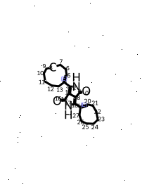 O=C1NC(/C2=C/CCCCCCCC2)=C2C(=O)NC(/C3=C/CCCCCCC3)=C12